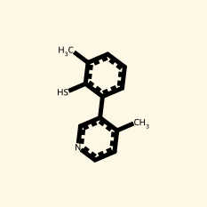 Cc1ccncc1-c1cccc(C)c1S